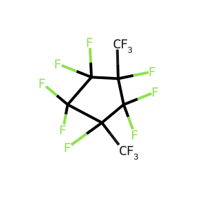 FC(F)(F)C1(F)C(F)(F)C(F)(F)C(F)(C(F)(F)F)C1(F)F